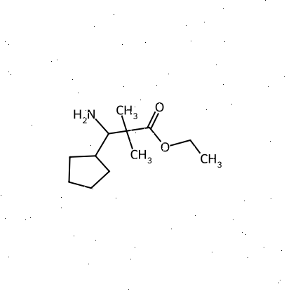 CCOC(=O)C(C)(C)C(N)C1CCCC1